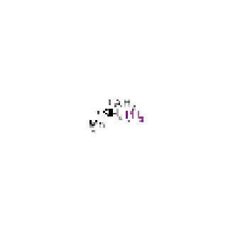 P.[AlH3].[Mn].[SiH4]